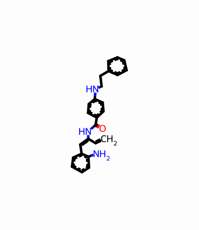 C=C/C(=C\c1ccccc1N)NC(=O)c1ccc(NCCc2ccccc2)cc1